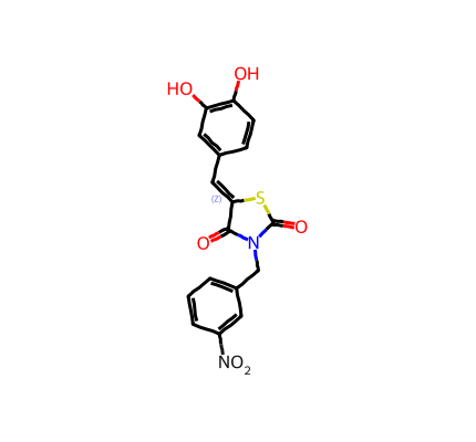 O=C1S/C(=C\c2ccc(O)c(O)c2)C(=O)N1Cc1cccc([N+](=O)[O-])c1